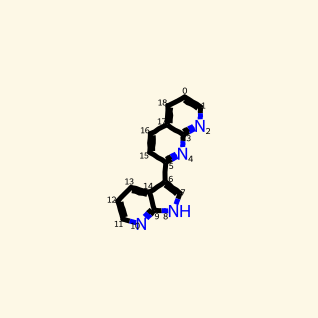 c1cnc2nc(-c3c[nH]c4ncccc34)ccc2c1